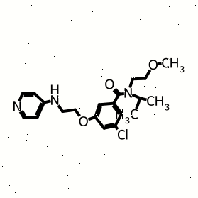 COCCN(C(=O)c1cc(Cl)cc(OCCNc2ccncc2)c1)C(C)C